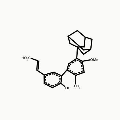 COc1cc(C)c(-c2cc(C=CC(=O)O)ccc2O)cc1C12CC3CC(CC(C3)C1)C2